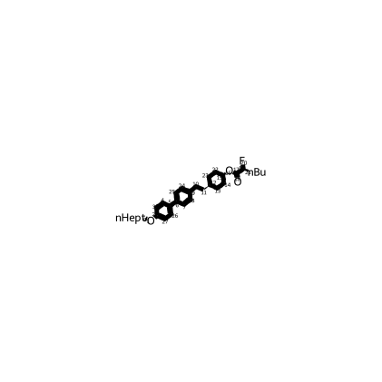 CCCCCCCOc1ccc(-c2ccc(CC[C@H]3CC[C@H](OC(=O)[C@@H](F)CCCC)CC3)cc2)cc1